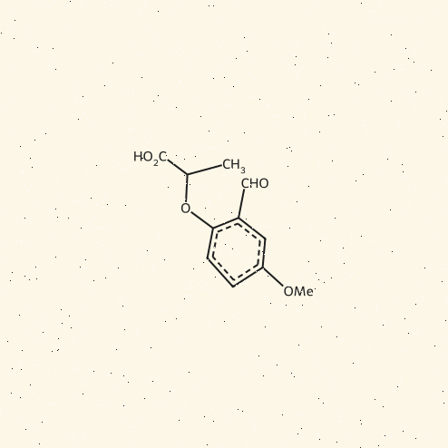 COc1ccc(OC(C)C(=O)O)c(C=O)c1